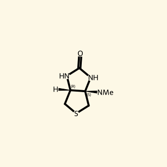 CN[C@@]12CSC[C@@H]1NC(=O)N2